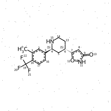 Cc1cc([C@@H]2C[C@@H](c3cc(=O)[nH]o3)CCN2)ccc1C(F)(F)F